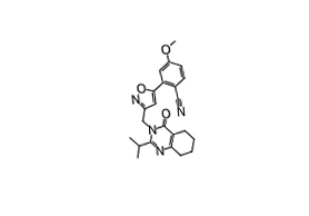 COc1ccc(C#N)c(-c2cc(Cn3c(C(C)C)nc4c(c3=O)CCCC4)no2)c1